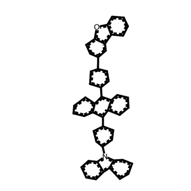 c1ccc2c(c1)oc1ccc(-c3ccc(-c4c5ccccc5c(-c5ccc(-n6c7ccccc7c7ccccc76)cc5)c5ccccc45)cc3)cc12